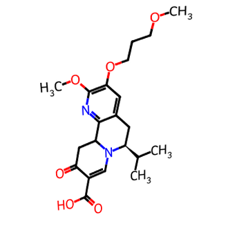 COCCCOc1cc2c(nc1OC)C1CC(=O)C(C(=O)O)=CN1[C@H](C(C)C)C2